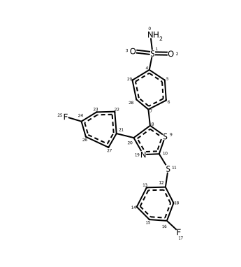 NS(=O)(=O)c1ccc(-c2sc(Sc3cccc(F)c3)nc2-c2ccc(F)cc2)cc1